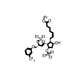 CC[Si](CC)(CC)O[C@H](/C=C/[C@@H]1[C@@H](C/C=C\CCCC(=O)OC(C)C)[C@@H](O)C[C@H]1O[Si](CC)(CC)CC)COc1cccc(C(F)(F)F)c1